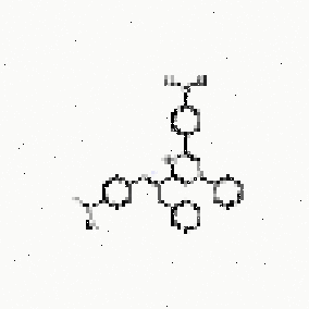 CCN(CC)c1ccc(/C=C(\Cc2ccccc2)C2=CN(c3ccccc3)C=C(c3ccc(N(CC)CC)cc3)N2)cc1